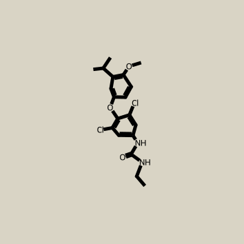 CCNC(=O)Nc1cc(Cl)c(Oc2ccc(OC)c(C(C)C)c2)c(Cl)c1